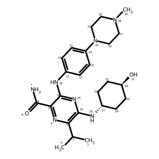 CC(C)c1nc(C(N)=O)c(Nc2ccc(N3CCN(C)CC3)cc2)nc1N[C@H]1CC[C@H](O)CC1